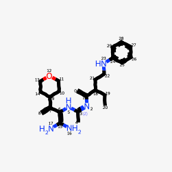 C=C(/N=C(/C)NC(C(=C)C1CCOCC1)=C(N)N)C(CC)CCNc1ccccc1